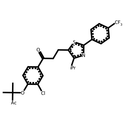 CC(=O)C(C)(C)Oc1ccc(C(=O)CCc2sc(-c3ccc(C(F)(F)F)cc3)nc2C(C)C)cc1Cl